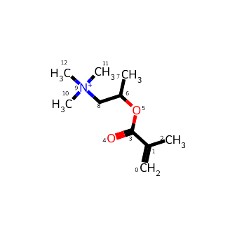 C=C(C)C(=O)OC(C)C[N+](C)(C)C